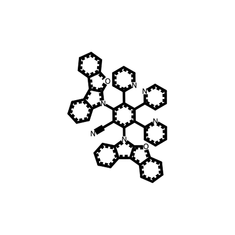 N#Cc1c(-n2c3ccccc3c3c4ccccc4oc32)c(-c2ccccn2)c(-c2ccccn2)c(-c2ccccn2)c1-n1c2ccccc2c2c3ccccc3oc21